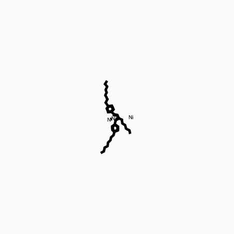 CCCCCCCCc1ccc(C2=CC(CCCCCC)=C(c3ccc(CCCCCCCC)cc3)[N+]2=[N-])cc1.[Ni]